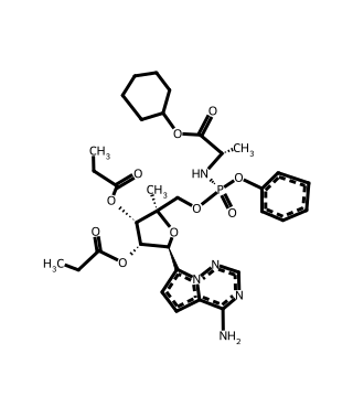 CCC(=O)O[C@H]1[C@H](c2ccc3c(N)ncnn23)O[C@](C)(CO[P@@](=O)(N[C@@H](C)C(=O)OC2CCCCC2)Oc2ccccc2)[C@H]1OC(=O)CC